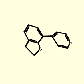 c1cc2c(c(-c3ccncc3)c1)OCC2